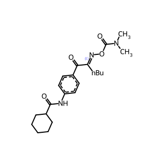 CCCC/C(=N\OC(=O)N(C)C)C(=O)c1ccc(NC(=O)C2CCCCC2)cc1